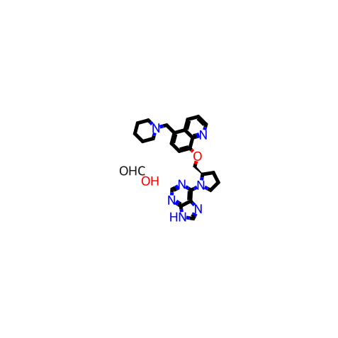 O=CO.c1cnc2c(OC[C@H]3CCCN3c3ncnc4[nH]cnc34)ccc(CN3CCCCC3)c2c1